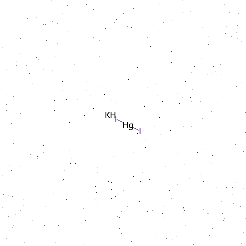 [I][Hg][I].[KH]